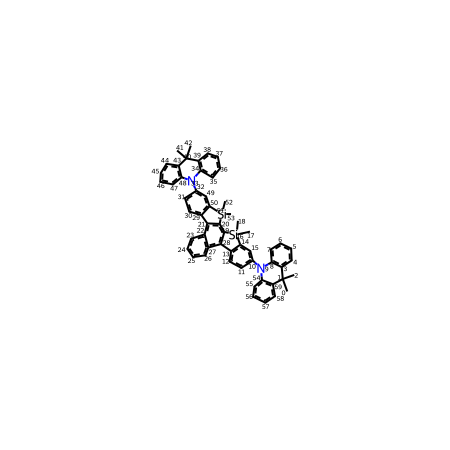 CC1(C)c2ccccc2N(c2ccc3c(c2)[Si](C)(C)c2c4c(c5ccccc5c2-3)-c2ccc(N3c5ccccc5C(C)(C)c5ccccc53)cc2[Si]4(C)C)c2ccccc21